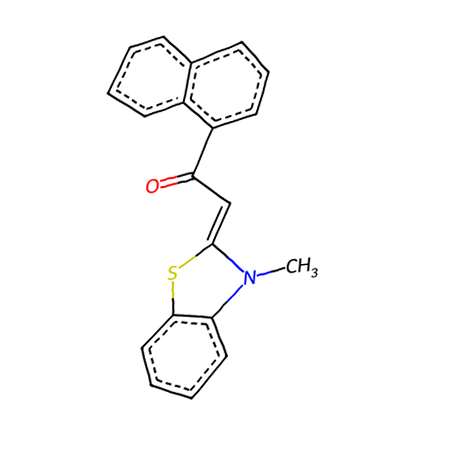 CN1C(=CC(=O)c2cccc3ccccc23)Sc2ccccc21